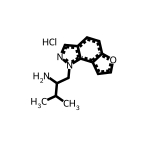 CC(C)C(N)Cn1ncc2ccc3occc3c21.Cl